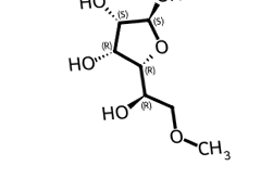 COC[C@@H](O)[C@H]1O[C@H](O)[C@@H](O)[C@H]1O